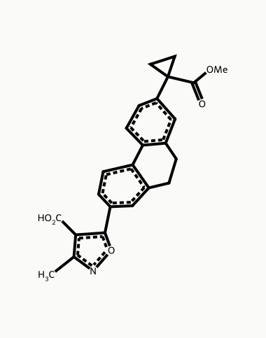 COC(=O)C1(c2ccc3c(c2)CCc2cc(-c4onc(C)c4C(=O)O)ccc2-3)CC1